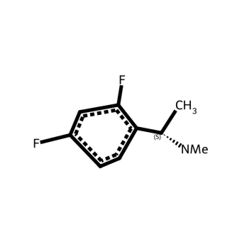 CN[C@@H](C)c1ccc(F)cc1F